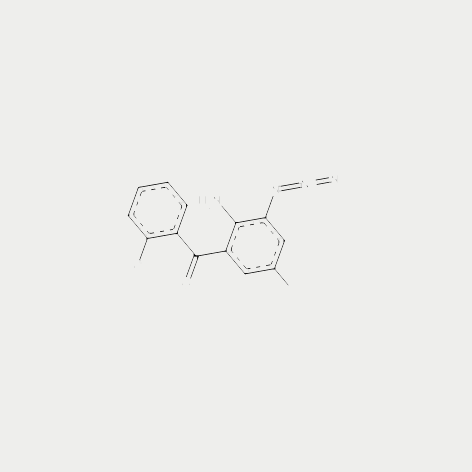 [N-]=[N+]=Nc1cc(Cl)cc(C(=O)c2ccccc2Cl)c1N